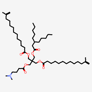 C=C(C)CCCCCCCCCCC(=O)OCC(COC(=O)CCCCCCCCCCC(=C)C)(COC(=O)CCCN(C)C)COC(=O)CC(CCCCC)CCCCC